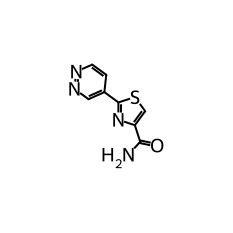 NC(=O)c1csc(-c2ccnnc2)n1